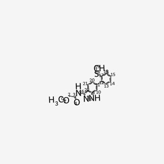 COCC(=O)Nc1n[nH]c2cc(-c3ccccc3SC)ccc12